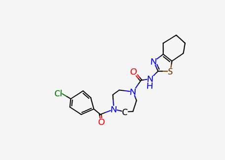 O=C(Nc1nc2c(s1)CCCC2)N1CCCN(C(=O)c2ccc(Cl)cc2)CC1